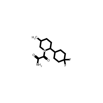 CC1CCC(C2CCC(F)(F)CC2)N(C(=O)C(N)=O)C1